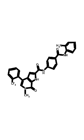 Cn1cc(-c2ccccc2C(F)(F)F)c2cc(C(=O)Nc3ccc(C(=O)Nc4ccccc4N)cc3)[nH]c2c1=O